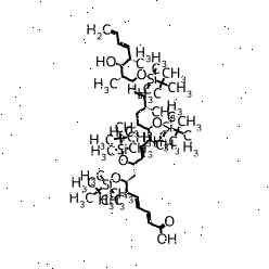 C=CC=C[C@H](C)[C@H](O)[C@@H](C)[C@@H](CC[C@H](C)C[C@@H](C)[C@@H](O[Si](C)(C)C(C)(C)C)[C@@H](C)C=C[C@H](C[C@H](O[Si](C)(C)C(C)(C)C)[C@@H](C)C=CC=CC(=O)O)O[Si](C)(C)C(C)(C)C)O[Si](C)(C)C(C)(C)C